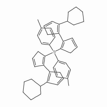 Cc1cc[c]([Ti]([C]2=C(C3=C(C4CCCCC4)C=CC3)C=CC2)([C]2=C(C3=C(C4CCCCC4)C=CC3)C=CC2)[c]2ccc(C)cc2)cc1